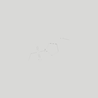 CCS(=O)(=O)N1C[CH][C@@H](OC)C1